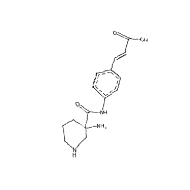 NC1(C(=O)Nc2ccc(/C=C/C(=O)O)cc2)CCCNC1